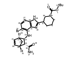 CC(C)(C)OC(=O)N1CCCC(c2nc3c(N[C@H]4[C@H](C(N)=O)[C@@H]5C=C[C@@H]4C5)c(Br)cnc3[nH]2)C1